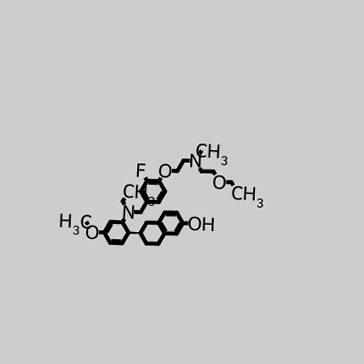 CCOCCN(C)CCOc1ccc(CN(CC)C2C=C(OC)C=CC2[C@@H]2CCc3cc(O)ccc3C2)cc1F